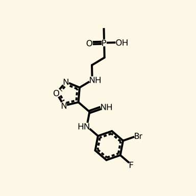 CP(=O)(O)CCNc1nonc1C(=N)Nc1ccc(F)c(Br)c1